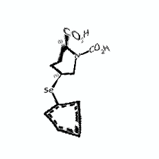 O=C(O)[C@@H]1C[C@H]([Se]c2ccccc2)CN1C(=O)O